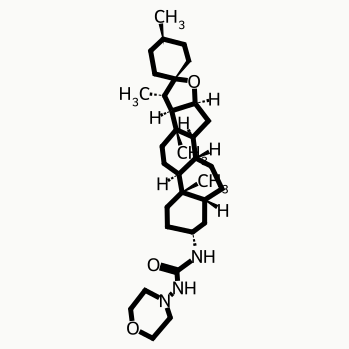 C[C@H]1[C@H]2[C@H](C[C@H]3[C@@H]4CC[C@@H]5C[C@H](NC(=O)NN6CCOCC6)CC[C@]5(C)[C@H]4CC[C@]23C)O[C@]12CC[C@H](C)CC2